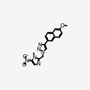 COc1ccc2cc(-c3cn(Cc4ncc([N+](=O)[O-])n4C)nn3)ccc2c1